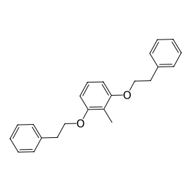 Cc1c(OCCc2ccccc2)cccc1OCCc1ccccc1